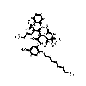 CCCCCCCCSc1ccc(C)cc1NC(=O)C(C1=Nc2ccccc2S(=O)(=O)C1CCCC)N1C(=O)OC(C)(C)C1=O